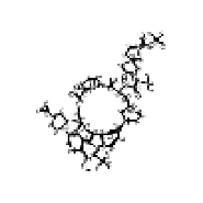 CO[C@@H](C)c1ncc(N2CCN(C3CC3)CC2)cc1-c1c2c3cc(ccc3n1CC(F)(F)F)N1CCO[C@@H](C[C@H](NC(=O)[C@H](C(C)C)N3CC[C@]4(CCN(C(=O)OC(C)(C)C)C4)C3)C(=O)N3CCC[C@H](N3)C(=O)OCC(C)(C)C2)C1